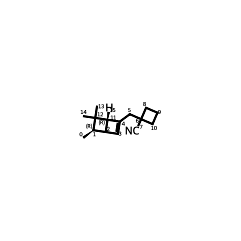 C[C@@H]1C2C=C(CC3(C#N)CCC3)[C@H]2C1(C)C